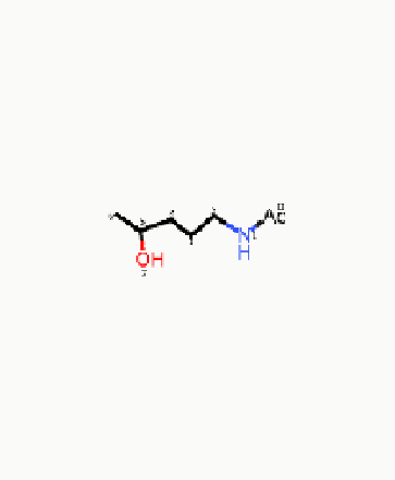 CC(=O)NCCCC(C)O